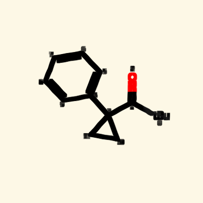 CC(C)(C)C(=O)C1(c2ccccc2)CC1